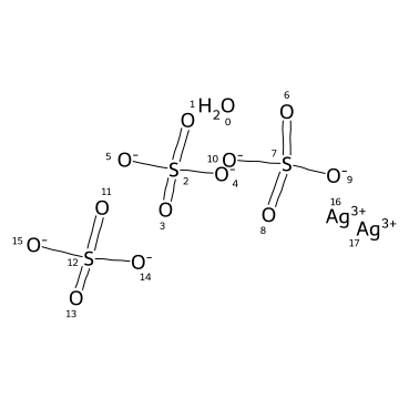 O.O=S(=O)([O-])[O-].O=S(=O)([O-])[O-].O=S(=O)([O-])[O-].[Ag+3].[Ag+3]